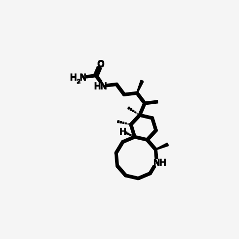 CC([C@H](C)CCNC(N)=O)[C@@]1(C)CCC2[C@@H](CCCCCCN[C@@H]2C)[C@@H]1C